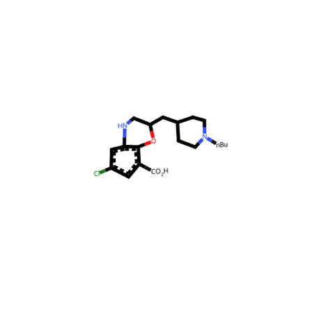 CCCCN1CCC(CC2CNc3cc(Cl)cc(C(=O)O)c3O2)CC1